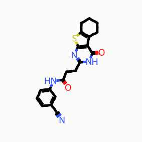 N#Cc1cccc(NC(=O)CCc2nc3sc4c(c3c(=O)[nH]2)CCCC4)c1